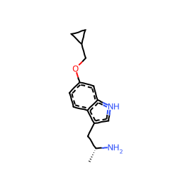 C[C@@H](N)Cc1c[nH]c2cc(OCC3CC3)ccc12